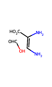 NC=C(N)C(=O)O.O=CO